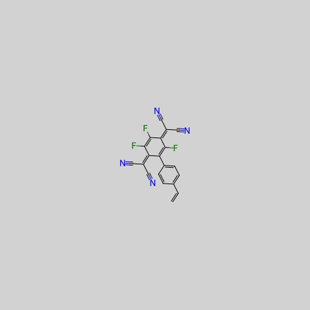 C=Cc1ccc(-c2c(F)c(=C(C#N)C#N)c(F)c(F)c2=C(C#N)C#N)cc1